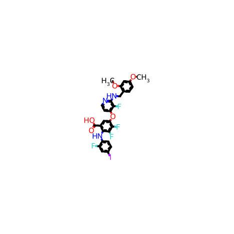 COc1ccc(CNc2nccc(Oc3cc(C(=O)O)c(Nc4ccc(I)cc4F)c(F)c3F)c2F)c(OC)c1